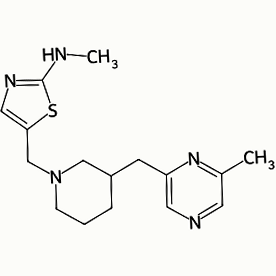 CNc1ncc(CN2CCCC(Cc3cncc(C)n3)C2)s1